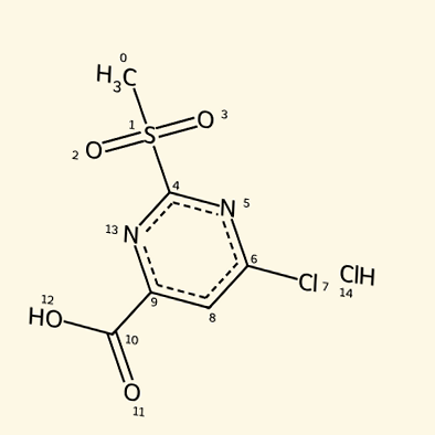 CS(=O)(=O)c1nc(Cl)cc(C(=O)O)n1.Cl